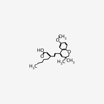 CCCCCC(C=CC1=CC(C)(C)COc2ccc(OC)cc21)=CC(=O)O